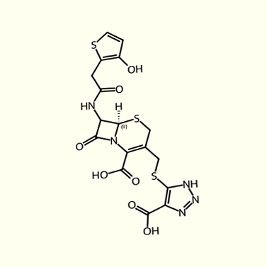 O=C(Cc1sccc1O)NC1C(=O)N2C(C(=O)O)=C(CSc3[nH]nnc3C(=O)O)CS[C@H]12